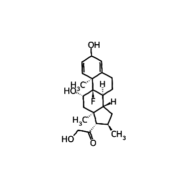 C[C@@H]1C[C@H]2[C@@H]3CCC4=CC(O)C=C[C@]4(C)[C@@]3(F)[C@@H](O)C[C@]2(C)[C@H]1C(=O)CO